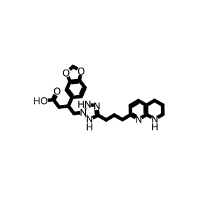 O=C(O)CC(CN1NN=C(CCCc2ccc3c(n2)NCCC3)N1)c1ccc2c(c1)OCO2